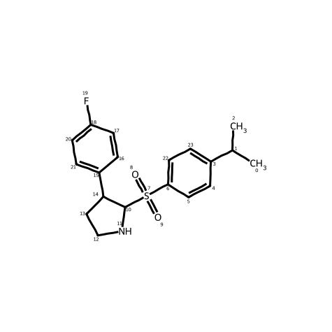 CC(C)c1ccc(S(=O)(=O)C2NCCC2c2ccc(F)cc2)cc1